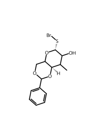 CC1C(O)[C@@H](SBr)OC2COC(c3ccccc3)O[C@@H]21